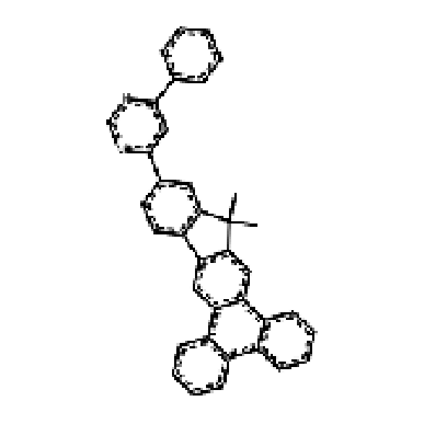 CC1(C)c2cc(-c3cc(-c4ccccc4)ncn3)ccc2-c2cc3c4ccccc4c4ccccc4c3cc21